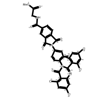 COC(=O)CNC(=O)c1ccc2c(c1)C(=O)N(c1ccc(N(C(=O)c3c(Cl)cc(Cl)cc3Cl)C(=O)c3c(Cl)cc(Cl)cc3Cl)c(Cl)c1)C2=O